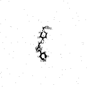 CC(C)(C)[CH]N1CCC(OCc2nc(-c3ccncc3)no2)CC1